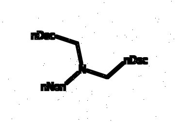 CCCCCCCCCCCN(CCCCCCCCC)CCCCCCCCCCC